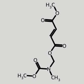 COC(=O)/C=C/C(=O)OCN(C)C(=O)OC